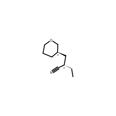 CC[C@H](C#N)C[C@H]1CCCOC1